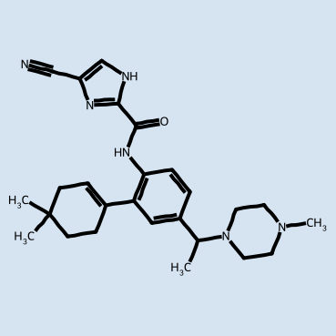 CC(c1ccc(NC(=O)c2nc(C#N)c[nH]2)c(C2=CCC(C)(C)CC2)c1)N1CCN(C)CC1